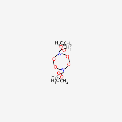 CC(C)(C)OC(=O)CN1CCOCCOCCN(CC(=O)OC(C)(C)C)CCOCCOCC1